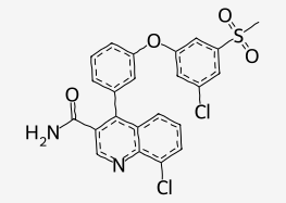 CS(=O)(=O)c1cc(Cl)cc(Oc2cccc(-c3c(C(N)=O)cnc4c(Cl)cccc34)c2)c1